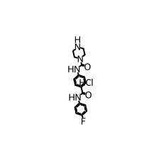 Cl.O=C(Nc1ccc(F)cc1)c1ccc(NC(=O)N2CCNCC2)cc1